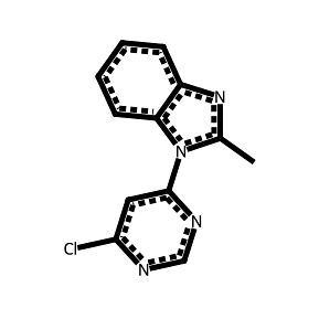 Cc1nc2ccccc2n1-c1cc(Cl)ncn1